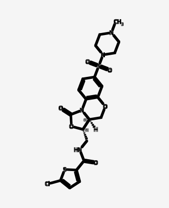 CN1CCN(S(=O)(=O)c2ccc3c(c2)OC[C@H]2[C@H](CNC(=O)c4ccc(Cl)s4)OC(=O)N32)CC1